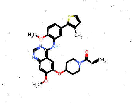 C=CC(=O)N1CCC(Oc2cc3c(Nc4cc(-c5sccc5C)ccc4OC)ncnc3cc2OC)CC1